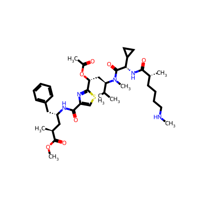 CNCCCC[C@@H](C)C(=O)N[C@H](C(=O)N(C)[C@H](C[C@@H](OC(C)=O)c1nc(C(=O)N[C@@H](Cc2ccccc2)C[C@H](C)C(=O)OC)cs1)C(C)C)C1CC1